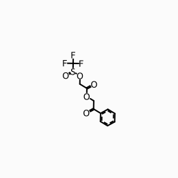 O=C(COS(=O)C(F)(F)F)OCC(=O)c1ccccc1